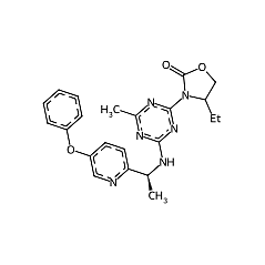 CCC1COC(=O)N1c1nc(C)nc(N[C@@H](C)c2ccc(Oc3ccccc3)cn2)n1